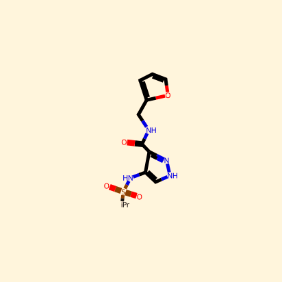 CC(C)S(=O)(=O)Nc1c[nH]nc1C(=O)NCc1ccco1